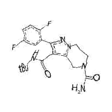 CC(C)(C)NC(=O)c1c(-c2cc(F)ccc2F)nn2c1CN(C(N)=O)CC2